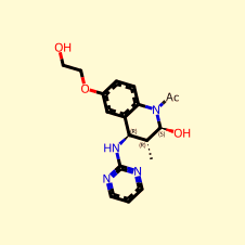 CC(=O)N1c2ccc(OCCO)cc2[C@H](Nc2ncccn2)[C@@H](C)[C@@H]1O